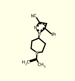 C=C(C)N1CCC(n2nc(C#N)cc2C(C)C)CC1